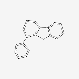 c1ccc(-c2cccc3c2Cc2cccc[n+]2-3)cc1